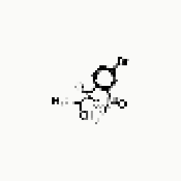 CC(C)S(=O)(=O)c1ccc(Br)cc1[N+](=O)[O-]